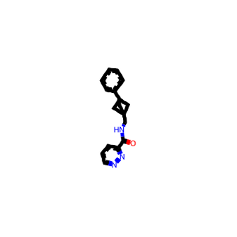 O=C(NCC12CC(c3ccccc3)(C1)C2)c1cccnn1